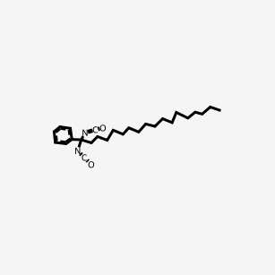 CCCCCCCCCCCCCCCCCC(N=C=O)(N=C=O)c1ccccc1